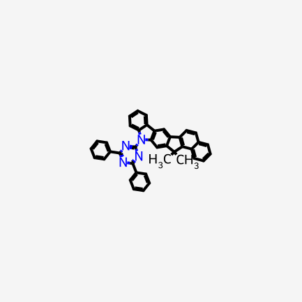 CC1(C)c2cc3c(cc2-c2ccc4ccccc4c21)c1ccccc1n3-c1nc(-c2ccccc2)nc(-c2ccccc2)n1